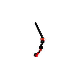 CCCCCCCCCCCCCCCCS(=O)(=O)c1ccc(C=Cc2ccc(OCCCOC3CCCCO3)cc2)cc1